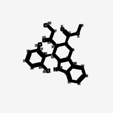 COC(=O)[C@H]1Cc2c([nH]c3ccccc23)[C@H](c2c(Cl)cccc2Cl)N1C(=O)CCl